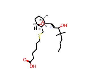 CCCCC(C)(C)C(O)/C=C/[C@H]1[C@@H](CSCCCCCC(=O)O)[C@H]2CC[C@@H]1O2